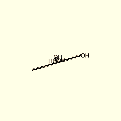 CCCCCCCCCCCCCCCCCCCCCCCCCCO.OP(O)O